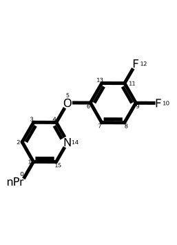 CCCc1ccc(Oc2ccc(F)c(F)c2)nc1